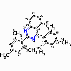 Cc1cc(C)c(-c2nc(-c3c(C)cc(C)cc3C)c3ccccc3n2)c(C)c1